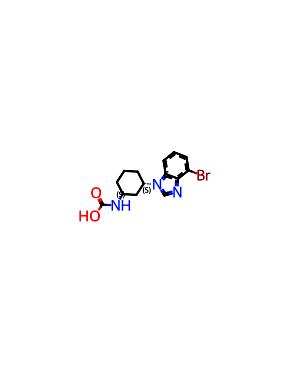 O=C(O)N[C@H]1CCC[C@H](n2cnc3c(Br)cccc32)C1